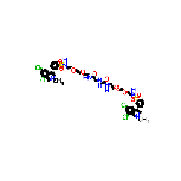 CN1Cc2c(Cl)cc(Cl)cc2[C@H](c2cccc(S(=O)(=O)NCCOCCOCCNC(=O)CNCC(=O)NCCOCCOCCNS(=O)(=O)c3cccc([C@@H]4CN(C)Cc5c(Cl)cc(Cl)cc54)c3)c2)C1